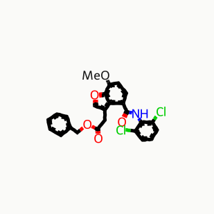 COc1ccc(C(=O)Nc2c(Cl)cccc2Cl)c2c(CC(=O)OCc3ccccc3)coc12